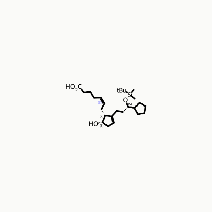 CC(C)(C)[Si](C)(C)O[C@@H](CCC1=CC[C@H](O)[C@@H]1C/C=C\CCCC(=O)O)C1CCCC1